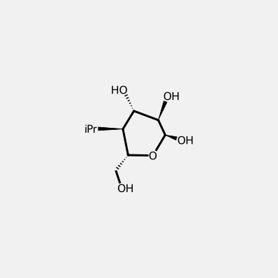 CC(C)[C@H]1[C@H](O)[C@@H](O)[C@@H](O)O[C@@H]1CO